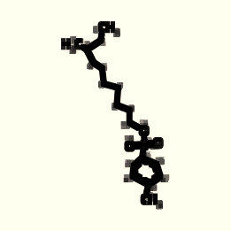 CCC(C)CCCCCCCOS(=O)(=O)c1ccc(C)cc1